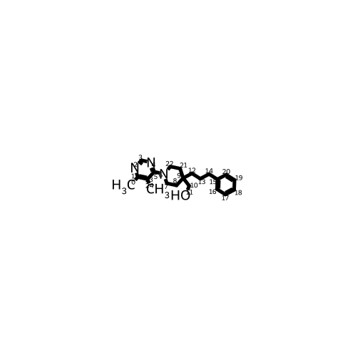 Cc1ncnc(N2CCC(CO)(CCCc3ccccc3)CC2)c1C